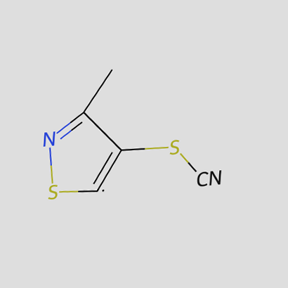 Cc1ns[c]c1SC#N